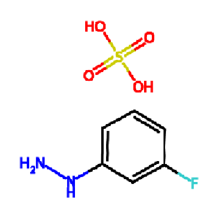 NNc1cccc(F)c1.O=S(=O)(O)O